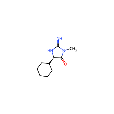 CN1C(=N)N[C@H](C2CCCCC2)C1=O